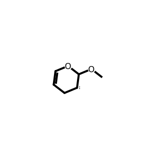 COC1[C]CC=CO1